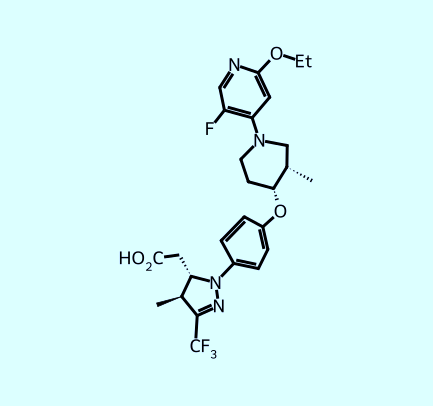 CCOc1cc(N2CC[C@@H](Oc3ccc(N4N=C(C(F)(F)F)[C@@H](C)[C@@H]4CC(=O)O)cc3)[C@@H](C)C2)c(F)cn1